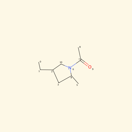 CCC1CC(C)N(C(C)=O)C1